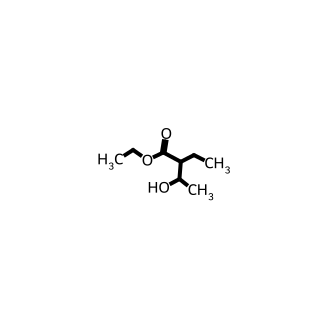 CCOC(=O)C(CC)C(C)O